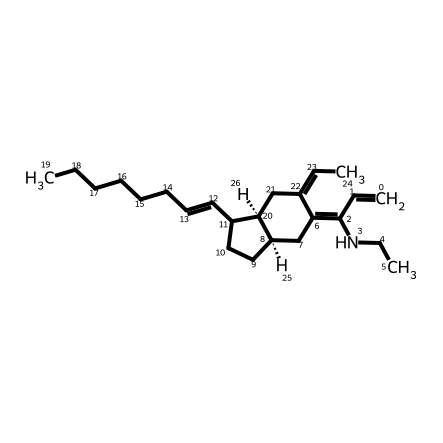 C=C/C(NCC)=C1/C[C@H]2CCC(/C=C/CCCCCC)[C@H]2C/C1=C/C